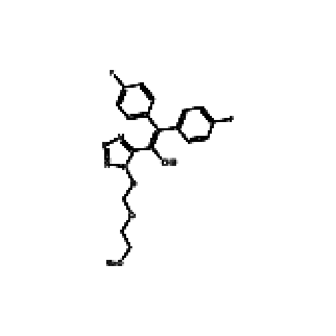 COCCOCOn1nnnc1C(C=O)=C(c1ccc(F)cc1)c1ccc(F)cc1